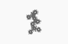 c1ccc(-c2nc(-c3ccccc3)nc(-c3cccc(-n4c5ccccc5c5cc6c(cc54)n(-c4ccccc4)c4nc5ccccc5n64)c3)n2)cc1